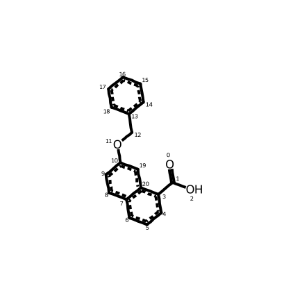 O=C(O)c1cccc2ccc(OCc3ccccc3)cc12